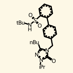 CCCCc1nn(C(C)C)c(=O)n1Cc1ccc(-c2ccccc2S(=O)(=O)NC(C)(C)C)cc1